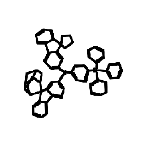 c1ccc([Si](c2ccccc2)(c2ccccc2)c2ccc(N(c3ccc4c(c3)C3(CCCC3)c3ccccc3-4)c3ccc4c(c3)C3(c5ccccc5-4)C4CC5CC(C4)CC3C5)cc2)cc1